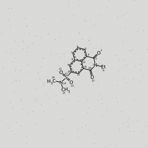 CCN1C(=O)c2cccc3cc(S(=O)(=O)N(C)C)cc(c23)C1=O